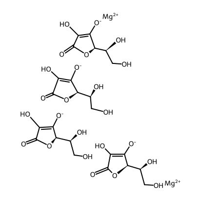 O=C1O[C@H]([C@@H](O)CO)C([O-])=C1O.O=C1O[C@H]([C@@H](O)CO)C([O-])=C1O.O=C1O[C@H]([C@@H](O)CO)C([O-])=C1O.O=C1O[C@H]([C@@H](O)CO)C([O-])=C1O.[Mg+2].[Mg+2]